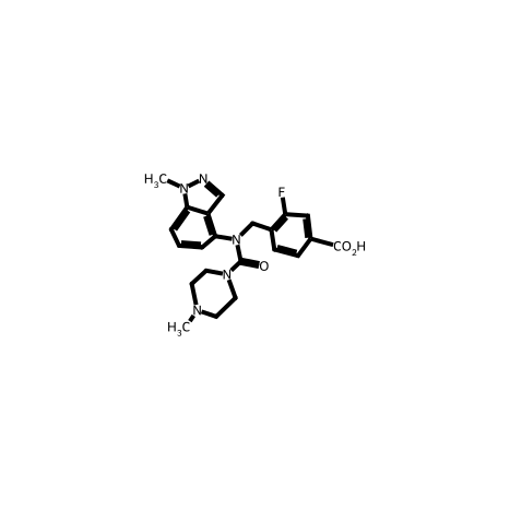 CN1CCN(C(=O)N(Cc2ccc(C(=O)O)cc2F)c2cccc3c2cnn3C)CC1